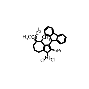 CCCC1=C(C2c3ccccc3-c3ccccc32)C2=C(CCC[C](=[Ge]([CH3])[CH3])C2C)[CH]1[Hf]([Cl])[Cl]